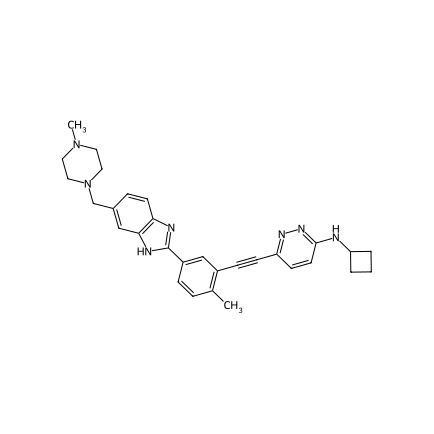 Cc1ccc(-c2nc3ccc(CN4CCN(C)CC4)cc3[nH]2)cc1C#Cc1ccc(NC2CCC2)nn1